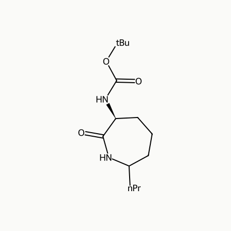 CCCC1CCC[C@H](NC(=O)OC(C)(C)C)C(=O)N1